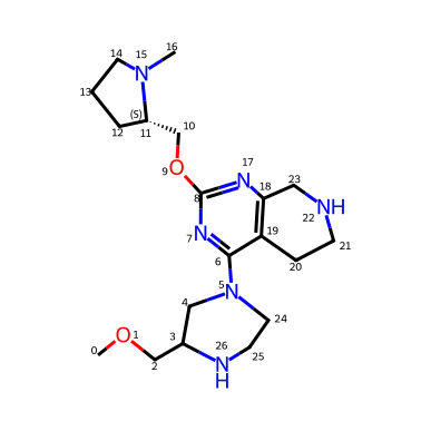 COCC1CN(c2nc(OC[C@@H]3CCCN3C)nc3c2CCNC3)CCN1